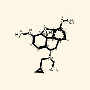 CCN(CC1CC1)[C@@H]1Cc2ccc(OC)c3c2[C@]2(C)C1=CC=C(OC)C2O3